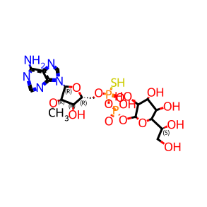 CO[C@@H]1[C@H](O)[C@@H](COP(=O)(S)OP(=O)(O)OC2OC([C@@H](O)CO)C(O)C(O)C2O)O[C@H]1n1cnc2c(N)ncnc21